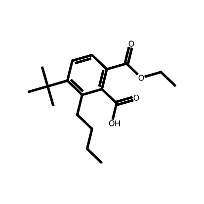 CCCCc1c(C(C)(C)C)ccc(C(=O)OCC)c1C(=O)O